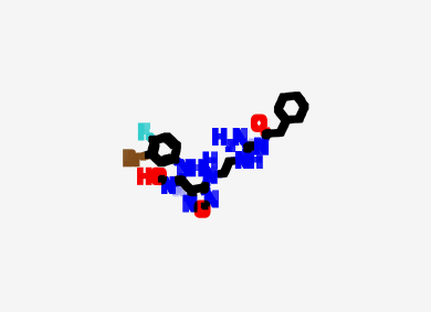 N/C(=N\C(=O)CC1CCCCC1)NCCNc1nonc1/C(=N/O)Nc1ccc(F)c(Br)c1